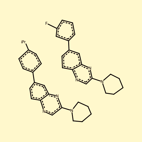 CC(C)c1ccc(-c2ccc3ncc(N4CCCCC4)nc3c2)cc1.Fc1cccc(-c2ccc3ncc(N4CCCCC4)nc3c2)c1